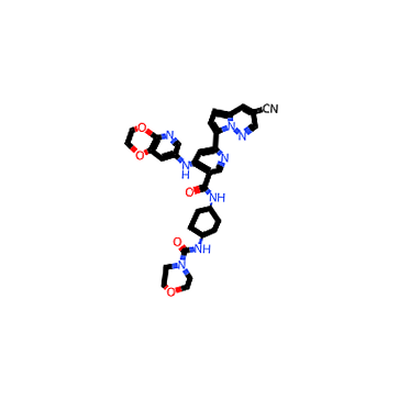 N#Cc1cnn2c(-c3cc(Nc4cnc5c(c4)OCCO5)c(C(=O)N[C@H]4CC[C@H](NC(=O)N5CCOCC5)CC4)cn3)ccc2c1